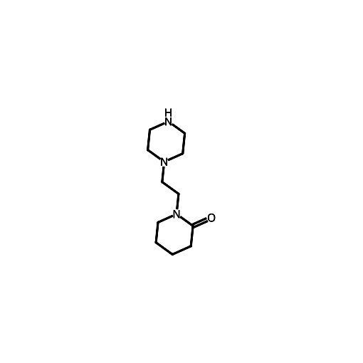 O=C1CCCCN1CCN1CCNCC1